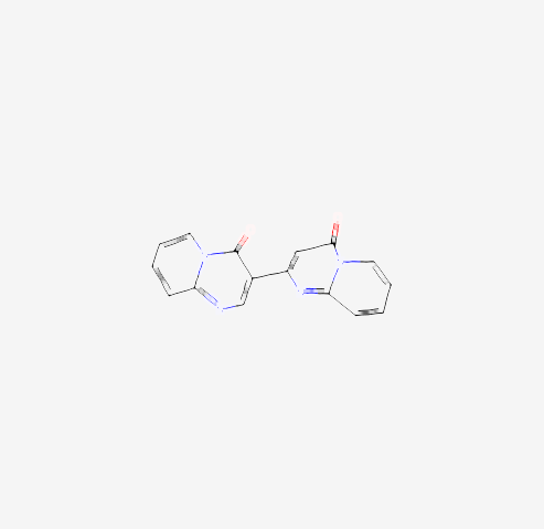 O=c1[c]c(-c2cnc3ccccn3c2=O)nc2ccccn12